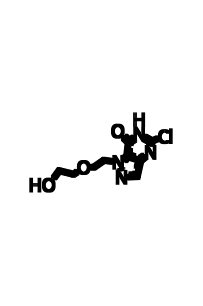 O=c1[nH]c(Cl)nc2cnn(CCOCCO)c12